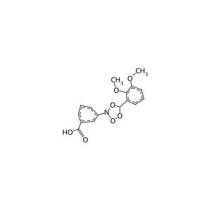 COc1cccc(C2OON(c3cccc(C(=O)O)c3)O2)c1OC